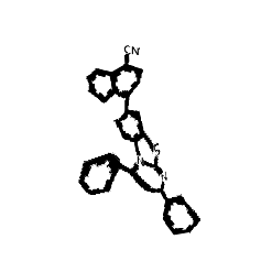 N#Cc1ccc(-c2ccc3c(c2)SC2=NC(c4ccccc4)C=C(c4ccccc4)N23)c2ccccc12